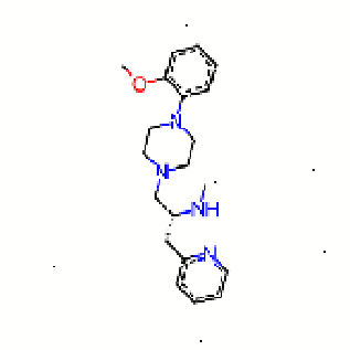 CN[C@H](Cc1ccccn1)CN1CCN(c2ccccc2OC)CC1